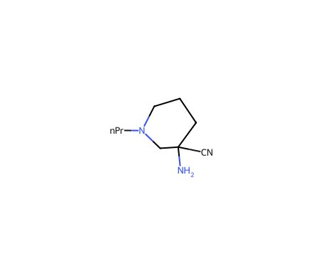 CCCN1CCCC(N)(C#N)C1